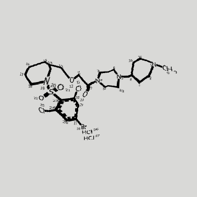 CN1CCC(N2CCN(C(=O)COCC3CCCCN3S(=O)(=O)c3c(Cl)cc(Br)cc3Cl)CC2)CC1.Cl.Cl